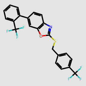 FC(F)(F)c1ccc(CSc2nc3ccc(-c4ccccc4C(F)(F)F)cc3o2)cc1